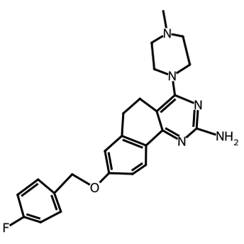 CN1CCN(c2nc(N)nc3c2CCc2cc(OCc4ccc(F)cc4)ccc2-3)CC1